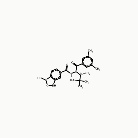 Cc1cc(C)cc(C(=O)N(NC(=O)c2ccc3c(c2)NOB3O)[C@H](C)C(C)(C)C)c1